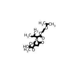 CCC(C)C(C(=O)OCCOC(C)C)N1CC(C(=O)C(C)(C)O)CC1=O